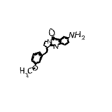 COc1cccc(/C=C2\CCn3c2nc2ccc(N)cc2c3=O)c1